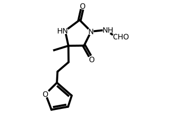 CC1(CCc2ccco2)NC(=O)N(NC=O)C1=O